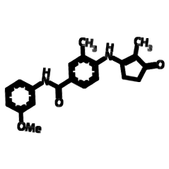 COc1cccc(NC(=O)c2ccc(NC3=C(C)C(=O)CC3)c(C)c2)c1